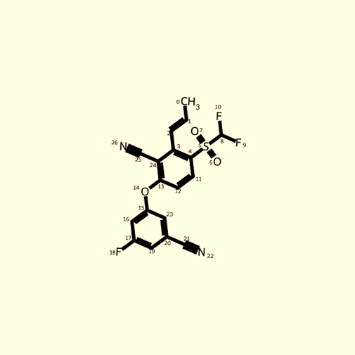 C/C=C/c1c(S(=O)(=O)C(F)F)ccc(Oc2cc(F)cc(C#N)c2)c1C#N